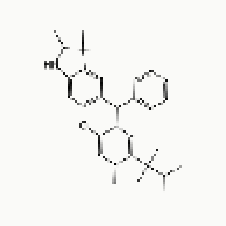 C=c1cc2c(cc1C(C)(C)C(C)C)=C(c1ccccc1)c1cc3c(cc1O2)NC(C)C3(C)C